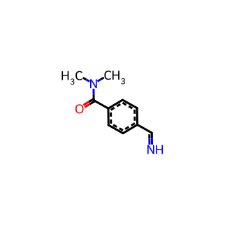 CN(C)C(=O)c1ccc(C=N)cc1